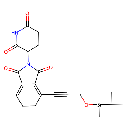 CC(C)(C)[Si](C)(C)OCC#Cc1cccc2c1C(=O)N(C1CCC(=O)NC1=O)C2=O